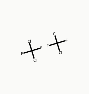 FC(F)(Cl)Cl.FC(F)(Cl)Cl